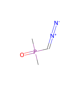 CP(C)(=O)C=[N+]=[N-]